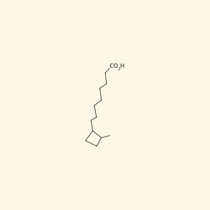 CC1CCC1CCCCCCCC(=O)O